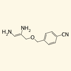 N#Cc1ccc(COC/C(N)=C/N)cc1